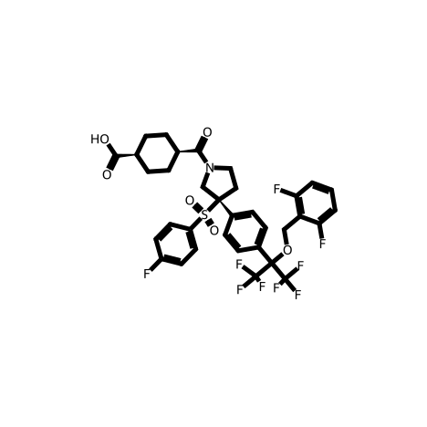 O=C(O)[C@H]1CC[C@@H](C(=O)N2CC[C@](c3ccc(C(OCc4c(F)cccc4F)(C(F)(F)F)C(F)(F)F)cc3)(S(=O)(=O)c3ccc(F)cc3)C2)CC1